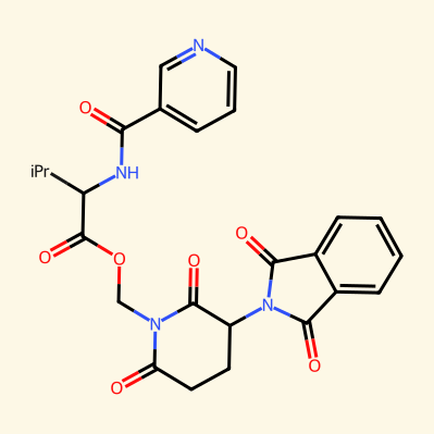 CC(C)C(NC(=O)c1cccnc1)C(=O)OCN1C(=O)CCC(N2C(=O)c3ccccc3C2=O)C1=O